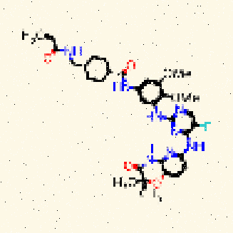 C=CC(=O)NC[C@H]1CC[C@H](C(=O)Nc2cc(Nc3ncc(F)c(Nc4ccc5c(n4)NC(=O)C(C)(C)O5)n3)c(OC)c(OC)c2)CC1